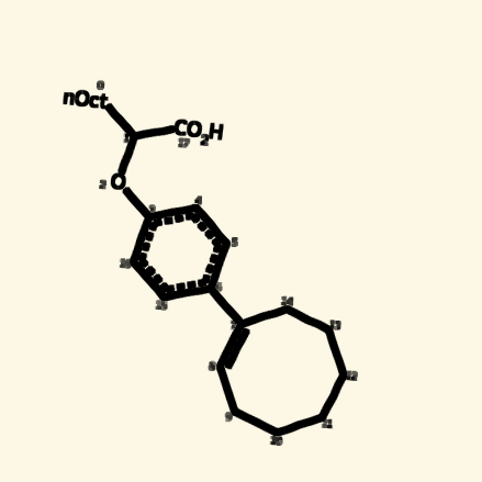 CCCCCCCCC(Oc1ccc(C2=CCCCCCC2)cc1)C(=O)O